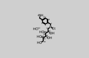 CCN(Cc1ccc(CN)cc1)C[C@H](O)[C@@H](O)[C@H](O)[C@H](O)CO.Cl